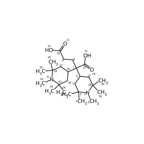 CN1C(C)(C)CC(C(CCC(=O)O)(C(=O)O)C2CC(C)(C)N(C)C(C)(C)C2)CC1(C)C